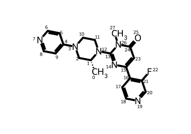 C[C@@H]1CN(c2ccncc2)CCN1c1nc(-c2ccncc2F)cc(=O)n1C